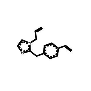 C=CCn1ccnc1Cc1ccc(C=C)cc1